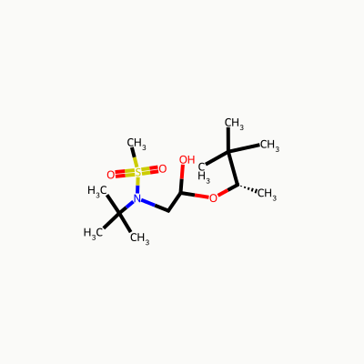 C[C@H](OC(O)CN(C(C)(C)C)S(C)(=O)=O)C(C)(C)C